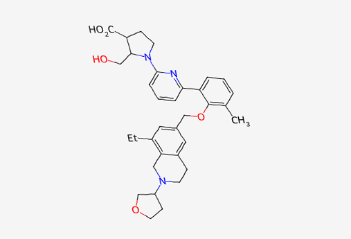 CCc1cc(COc2c(C)cccc2-c2cccc(N3CCC(C(=O)O)C3CO)n2)cc2c1CN(C1CCOC1)CC2